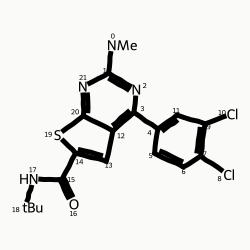 CNc1nc(-c2ccc(Cl)c(Cl)c2)c2cc(C(=O)NC(C)(C)C)sc2n1